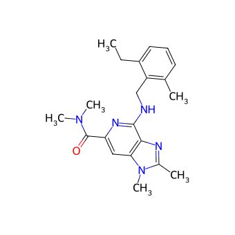 CCc1cccc(C)c1CNc1nc(C(=O)N(C)C)cc2c1nc(C)n2C